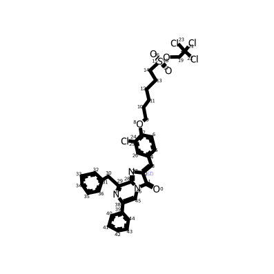 O=C1/C(=C/c2ccc(OCCCCCCS(=O)(=O)OCC(Cl)(Cl)Cl)c(Cl)c2)N=C2C(Cc3ccccc3)=NC(c3ccccc3)=CN12